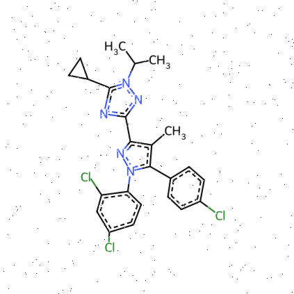 Cc1c(-c2nc(C3CC3)n(C(C)C)n2)nn(-c2ccc(Cl)cc2Cl)c1-c1ccc(Cl)cc1